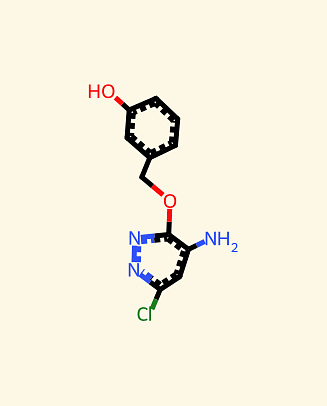 Nc1cc(Cl)nnc1OCc1cccc(O)c1